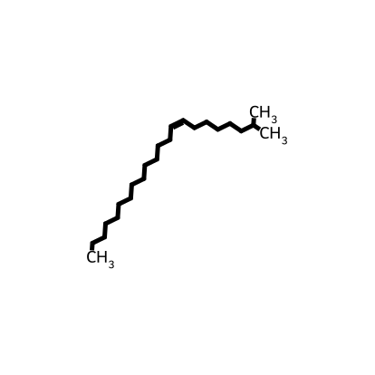 CCCCCCCCCCCCC/C=C\CCCCCC(C)C